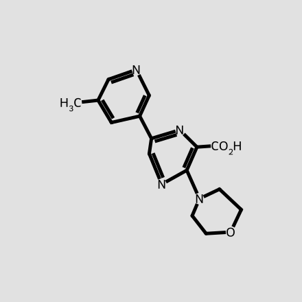 Cc1cncc(-c2cnc(N3CCOCC3)c(C(=O)O)n2)c1